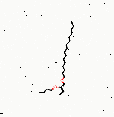 CCCCCCCCCCCCCCCCOCC(CC)OCCCC